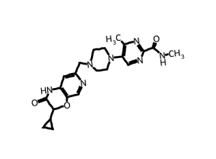 CNC(=O)c1ncc(N2CCN(Cc3cc4c(cn3)OC(C3CC3)C(=O)N4)CC2)c(C)n1